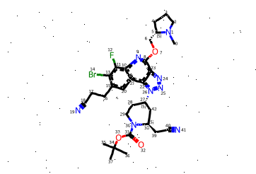 CN1CCC[C@H]1COc1nc2c(F)c(Br)c(CCC#N)cc2c2c1nnn2[C@H]1CCN(C(=O)OC(C)(C)C)[C@H](CC#N)C1